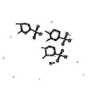 Cc1ccc(S(=O)(=O)[O-])cc1C.Cc1ccc(S(=O)(=O)[O-])cc1C.Cc1ccc(S(=O)(=O)[O-])cc1C.[In+3]